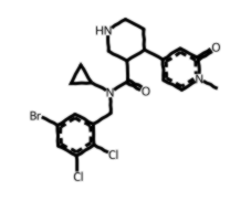 Cn1ccc(C2CCNCC2C(=O)N(Cc2cc(Br)cc(Cl)c2Cl)C2CC2)cc1=O